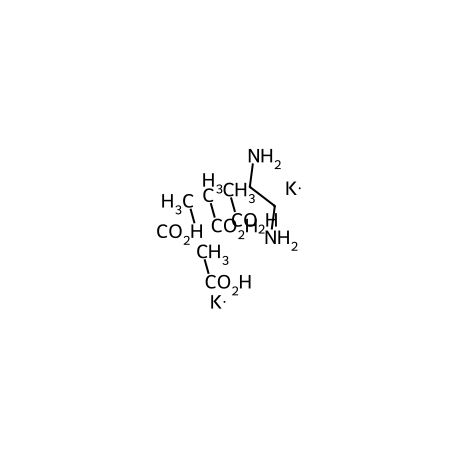 CC(=O)O.CC(=O)O.CC(=O)O.CC(=O)O.NCCN.[K].[K]